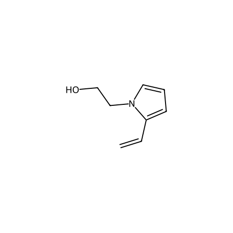 C=Cc1cccn1CCO